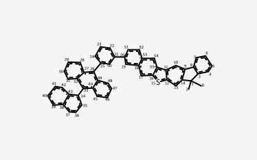 CC1(C)c2ccccc2-c2cc3c(cc21)sc1cc2cc(-c4cccc(-c5c6ccccc6c(-c6cccc7ccccc67)c6ccccc56)c4)ccc2cc13